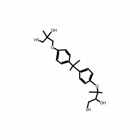 CC(O)(CS)COc1ccc(C(C)(C)c2ccc(OC(C)(C)C(O)CS)cc2)cc1